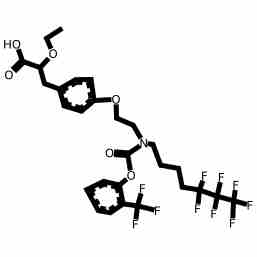 CCOC(Cc1ccc(OCCN(CCCCC(F)(F)C(F)(F)C(F)(F)F)C(=O)Oc2ccccc2C(F)(F)F)cc1)C(=O)O